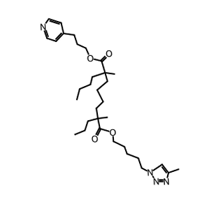 CCCCC(C)(CCCCC(C)(CCC)C(=O)OCCCCCn1cc(C)nn1)C(=O)OCCCc1ccncc1